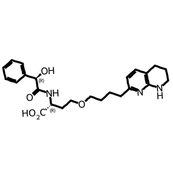 O=C(O)[C@@H](CCOCCCCc1ccc2c(n1)NCCC2)NC(=O)[C@H](O)c1ccccc1